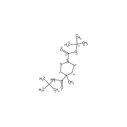 CC(C)(C)NC(=O)C1(C)CCN(C(=O)OC(C)(C)C)CC1